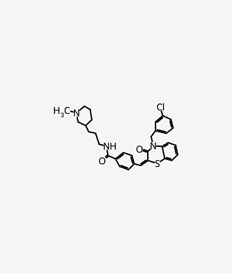 CN1CCCC(CCCNC(=O)c2ccc(/C=C3/Sc4ccccc4N(Cc4cccc(Cl)c4)C3=O)cc2)C1